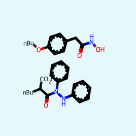 CCCCC(C(=O)O)C(=O)N(Nc1ccccc1)c1ccccc1.CCCCOc1ccc(CC(=O)NO)cc1